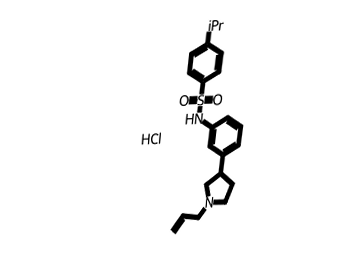 C=CCN1CCC(c2cccc(NS(=O)(=O)c3ccc(C(C)C)cc3)c2)C1.Cl